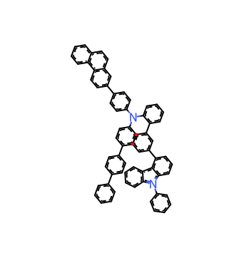 c1ccc(-c2ccc(-c3ccc(N(c4ccc(-c5ccc6c(ccc7ccccc76)c5)cc4)c4ccccc4-c4cccc(-c5cccc6c5c5ccccc5n6-c5ccccc5)c4)cc3)cc2)cc1